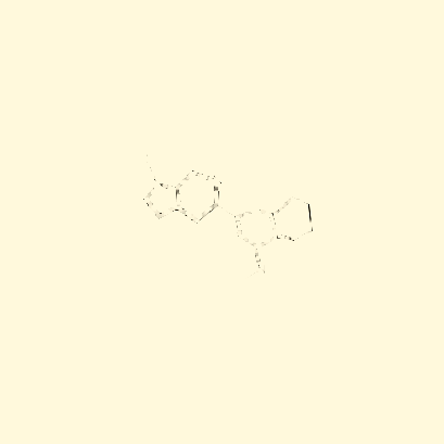 O/N=c1\cc(-c2cc3ccn(O)c3cn2)oc2c1=CCCC=2